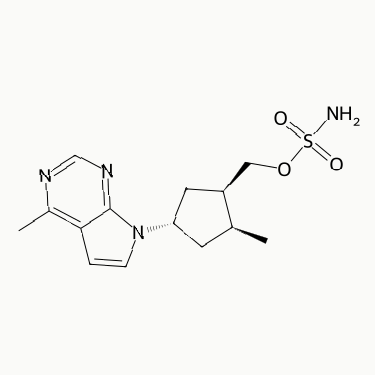 Cc1ncnc2c1ccn2[C@@H]1C[C@@H](COS(N)(=O)=O)[C@@H](C)C1